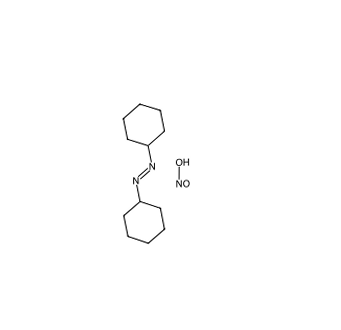 C1CCC(N=NC2CCCCC2)CC1.O=NO